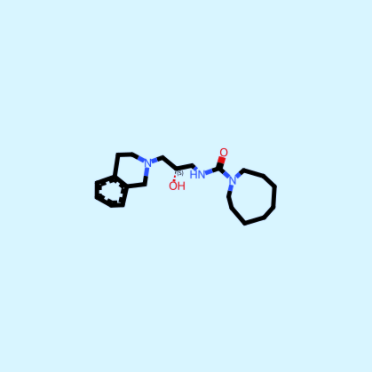 O=C(NC[C@H](O)CN1CCc2ccccc2C1)N1CCCCCCCC1